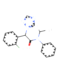 CC(C)N(C(=O)C(c1ccccc1Cl)n1cncn1)c1ccccc1